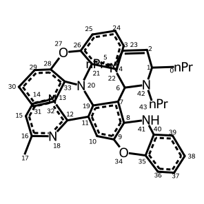 CCCC1C=CN(CCC)C(c2c3c(cc(-c4nccc(C)n4)c2N2c4ccccc4Oc4ccccc42)Oc2ccccc2N3)N1CCC